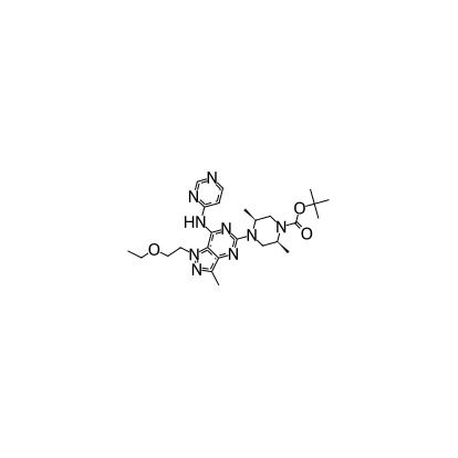 CCOCCn1nc(C)c2nc(N3C[C@H](C)N(C(=O)OC(C)(C)C)C[C@@H]3C)nc(Nc3ccncn3)c21